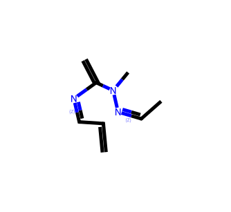 C=C/C=N\C(=C)N(C)/N=C\C